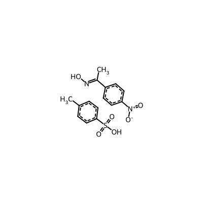 CC(=NO)c1ccc([N+](=O)[O-])cc1.Cc1ccc(S(=O)(=O)O)cc1